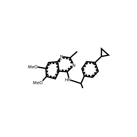 COc1cc2nc(C)nc(NC(C)c3ccc(C4CC4)cc3)c2cc1OC